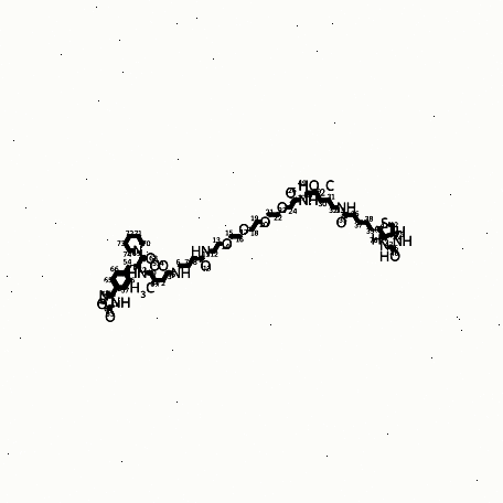 C[C@@H](CC(=O)NCCCC(=O)NCCOCCOCCOCCOCC(=O)N[C@@H](CCCCNC(=O)CCCC[C@@H]1SC[C@@H]2NC(=O)N[C@@H]21)C(=O)O)C(=O)N[C@H](Cc1ccc(-c2noc(=O)[nH]2)cc1)C(=O)N1CCCCC1